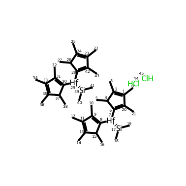 CC1=C(C)C(C)[C]([Hf]([C]2=C(C)C(C)=C(C)C2C)=[Si](C)C)=C1C.CC1=C(C)C(C)[C]([Hf]([C]2=C(C)C(C)=C(C)C2C)=[Si](C)C)=C1C.Cl.Cl